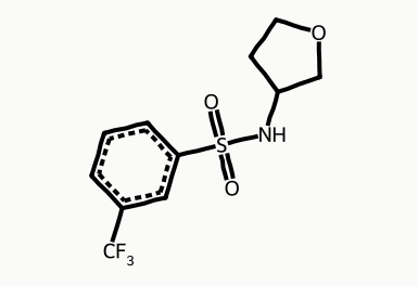 O=S(=O)(NC1CCOC1)c1cccc(C(F)(F)F)c1